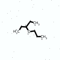 [CH2]CC(CC)OCCC